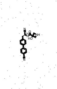 N#Cc1ccc(-c2ccc(C[C@@H](C#N)NC(=O)C3(O)CNC3)cc2)cc1